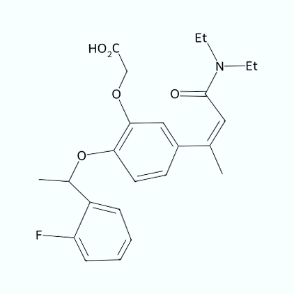 CCN(CC)C(=O)/C=C(/C)c1ccc(OC(C)c2ccccc2F)c(OCC(=O)O)c1